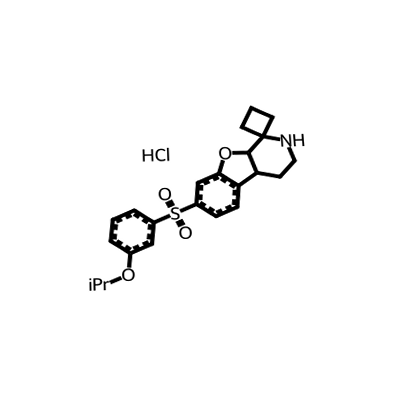 CC(C)Oc1cccc(S(=O)(=O)c2ccc3c(c2)OC2C3CCNC23CCC3)c1.Cl